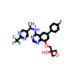 CC(Nc1ncnc2c(OCC3(O)COC3)cc(-c3ccc(F)cc3)cc12)c1cnc(C(F)(F)F)nc1